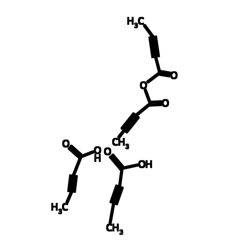 CC#CC(=O)O.CC#CC(=O)O.CC#CC(=O)OC(=O)C#CC